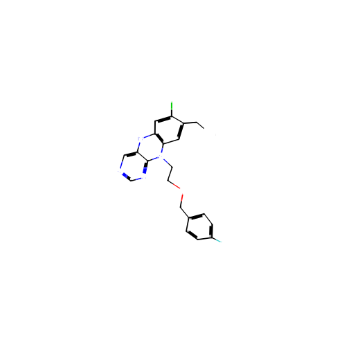 CCc1cc2c(cc1Cl)Nc1cncnc1N2CCOCc1ccc(F)cc1